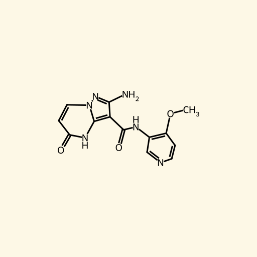 COc1ccncc1NC(=O)c1c(N)nn2ccc(=O)[nH]c12